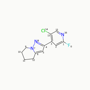 Fc1cc(-c2cc3n(n2)CCCC3)c(Cl)cn1